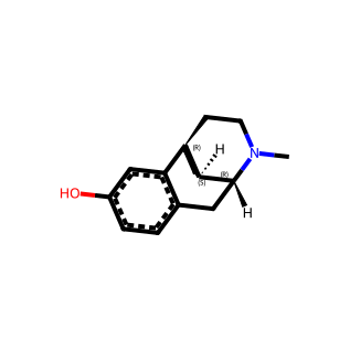 CN1CC[C@]23CCCC[C@@H]2[C@H]1Cc1ccc(O)cc13